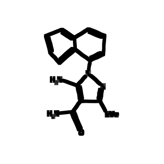 CSc1nn(-c2cccc3ccccc23)c(N)c1C(N)=O